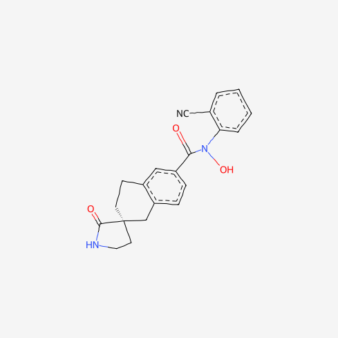 N#Cc1ccccc1N(O)C(=O)c1ccc2c(c1)CC[C@@]1(CCNC1=O)C2